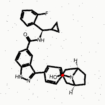 O=C(N[C@@H](c1ccccc1F)C1CC1)c1ccc2[nH]nc(-c3ccc(N4[C@@H]5CC[C@H]4CC(O)C5)cc3)c2c1